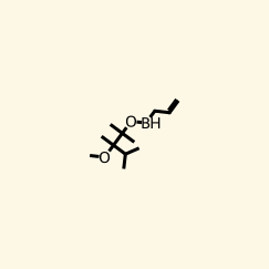 C=CCBOC(C)(C)C(C)(OC)C(C)C